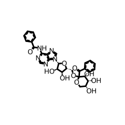 O=C(Nc1ncnc2c1ncn2[C@@H]1O[C@H](COC2(C(=O)c3ccccc3)OC[C@@H](O)[C@@H](O)[C@H]2O)[C@@H](O)[C@H]1O)c1ccccc1